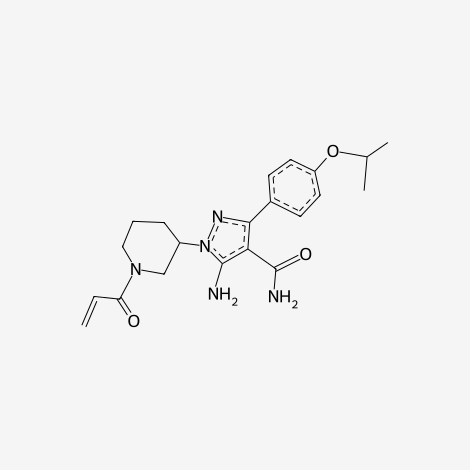 C=CC(=O)N1CCCC(n2nc(-c3ccc(OC(C)C)cc3)c(C(N)=O)c2N)C1